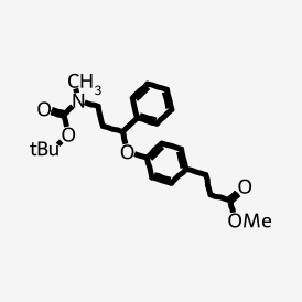 COC(=O)CCc1ccc(OC(CCN(C)C(=O)OC(C)(C)C)c2ccccc2)cc1